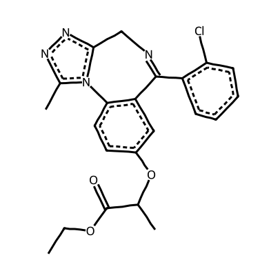 CCOC(=O)C(C)Oc1ccc2c(c1)C(c1ccccc1Cl)=NCc1nnc(C)n1-2